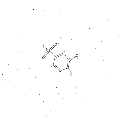 Cc1ncc(S(C)(=O)=O)cc1Cl